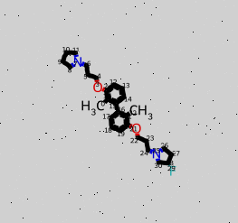 Cc1c(OCCCN2CCCC2)cccc1-c1cccc(OCCCN2CC[C@@H](F)C2)c1C